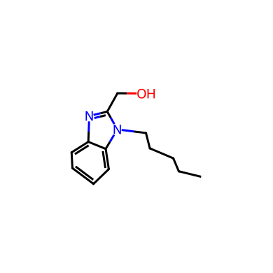 CCCCCn1c(CO)nc2ccccc21